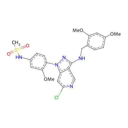 COc1ccc(CNc2nn(-c3ccc(NS(C)(=O)=O)cc3OC)c3cc(Cl)ncc23)c(OC)c1